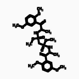 COc1ccc(OC)c(C(=S)N(C)NP(=O)(CP(=O)(NN(C)C(=S)c2cc(OC)ccc2OC)OC)OC)c1